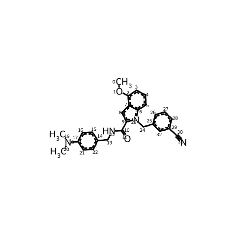 COc1cccc2c1cc(C(=O)NCc1ccc(N(C)C)cc1)n2Cc1cccc(C#N)c1